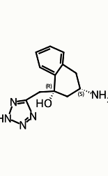 N[C@H]1Cc2ccccc2[C@](O)(Cc2nn[nH]n2)C1